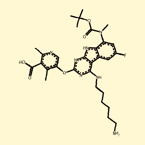 Cc1ncc(Oc2nc(NCCCCCCN)c3c(n2)[nH]c2c(N(C)C(=O)OC(C)(C)C)cc(F)cc23)c(C)c1C(=O)O